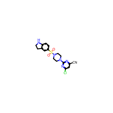 N#Cc1cc(Cl)nc(N2CCN(S(=O)(=O)c3ccc4c(c3)CCN4)CC2)n1